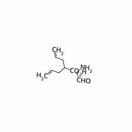 C=CCC(CC=C)C(=O)O.NCC=O